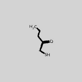 CCCC(=O)[CH]S